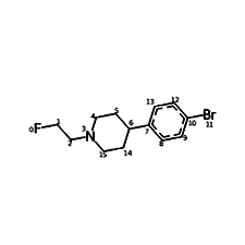 FCCN1CCC(c2ccc(Br)cc2)CC1